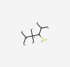 CC(C)C(S)C(C)(C)C(C)C